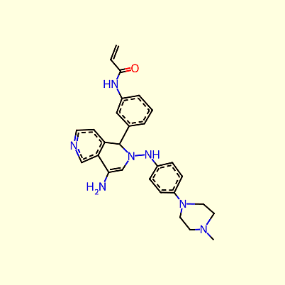 C=CC(=O)Nc1cccc(C2c3ccncc3C(N)=CN2Nc2ccc(N3CCN(C)CC3)cc2)c1